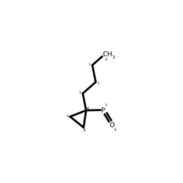 CCCCC1(P=O)CC1